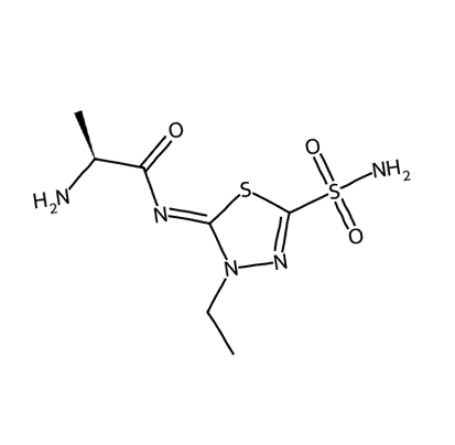 CCn1nc(S(N)(=O)=O)sc1=NC(=O)[C@H](C)N